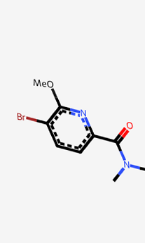 COc1nc(C(=O)N(C)C)ccc1Br